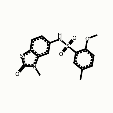 COc1ccc(C)cc1S(=O)(=O)Nc1ccc2sc(=O)n(C)c2c1